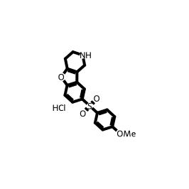 COc1ccc(S(=O)(=O)c2ccc3oc4c(c3c2)CNCC4)cc1.Cl